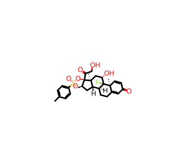 Cc1ccc(S(=O)(=O)O[C@]2(C(=O)CO)[C@H](C)C[C@H]3[C@@H]4CCC5=CC(=O)C=C[C@]5(C)[C@@]4(F)[C@@H](O)C[C@@]32C)cc1